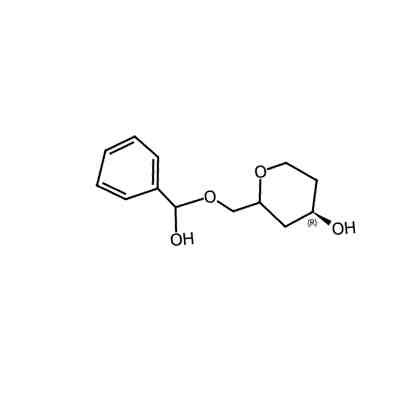 OC(OCC1C[C@H](O)CCO1)c1ccccc1